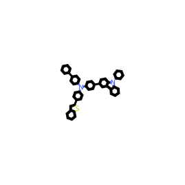 c1ccc(-c2ccc(N(c3ccc(-c4ccc5c(c4)c4ccccc4n5-c4ccccc4)cc3)c3ccc(-c4cc5ccccc5s4)cc3)cc2)cc1